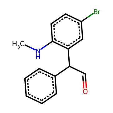 CNc1ccc(Br)cc1C(C=O)c1ccccc1